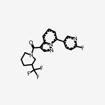 O=C(c1cnn2c(-c3ccc(F)nc3)cccc12)N1CCCC(C(F)(F)F)C1